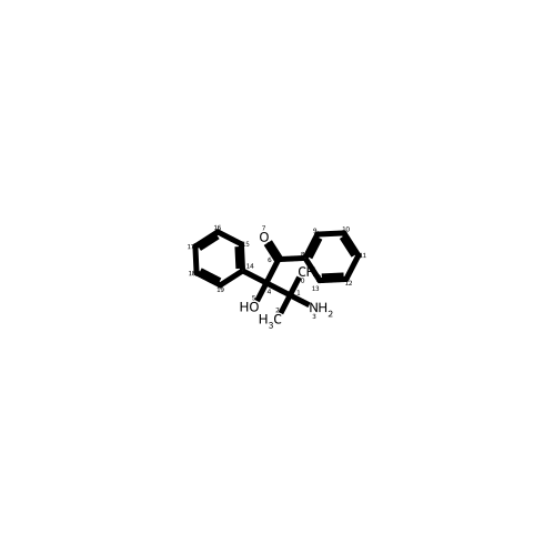 CC(C)(N)C(O)(C(=O)c1ccccc1)c1ccccc1